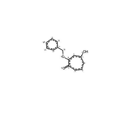 O=c1cccc(O)cc1OCc1ccccc1